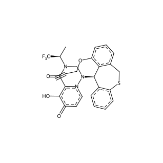 C#CCOc1cccc2c1[C@H](N1CN([C@H](C)C(F)(F)F)C(=O)c3c(O)c(=O)ccn31)c1ccccc1SC2